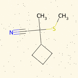 CSC(C)(C#N)C1CCC1